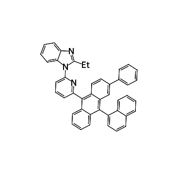 CCc1nc2ccccc2n1-c1cccc(-c2c3ccccc3c(-c3cccc4ccccc34)c3cc(-c4ccccc4)ccc23)n1